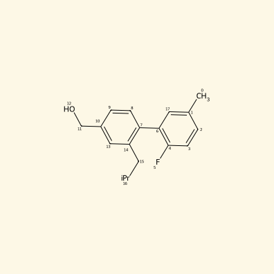 Cc1ccc(F)c(-c2ccc(CO)cc2CC(C)C)c1